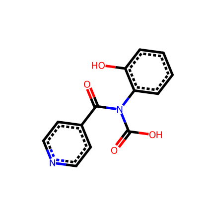 O=C(O)N(C(=O)c1ccncc1)c1ccccc1O